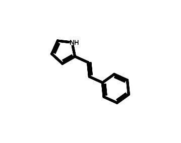 C(=C\c1ccc[nH]1)/c1ccccc1